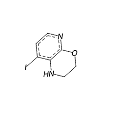 Ic1ccnc2c1NCCO2